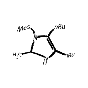 CCCCC1=C(CCCC)N(SC)C(C)N1